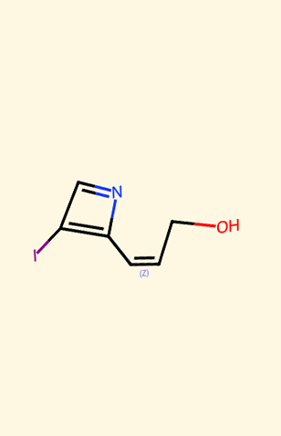 OC/C=C\C1=C(I)C=N1